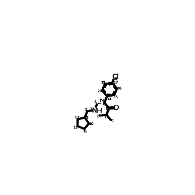 CC(C)C(=O)[C@H](CNCC1CCCC1)c1ccc(Cl)cc1